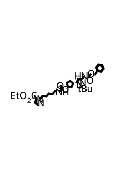 CCOC(=O)c1ccnn1CCCCCNC(=O)O[C@@H]1CC[C@H](c2cc(NC(=O)OCc3ccccc3)nn2C(C)(C)C)C1